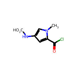 Cn1cc(NC(=O)O)cc1C(=O)Cl